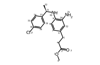 COC(=O)CCc1ccc(N[C@H](C)c2ccc(Cl)cc2)c(N)c1